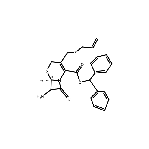 C=CCSCC1=C(C(=O)OC(c2ccccc2)c2ccccc2)N2C(=O)C(N)[C@H]2SC1